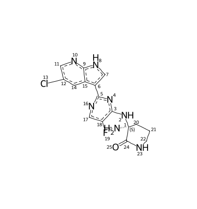 N[C@]1(Nc2nc(-c3c[nH]c4ncc(Cl)cc34)ncc2F)CCCNC1=O